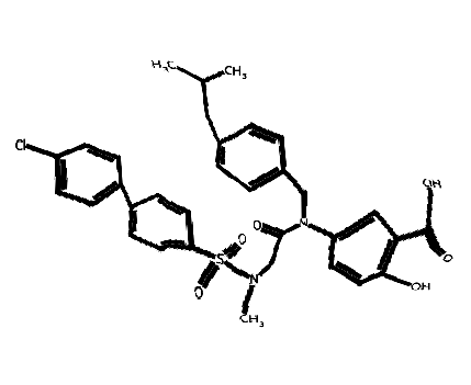 CC(C)Cc1ccc(CN(C(=O)CN(C)S(=O)(=O)c2ccc(-c3ccc(Cl)cc3)cc2)c2ccc(O)c(C(=O)O)c2)cc1